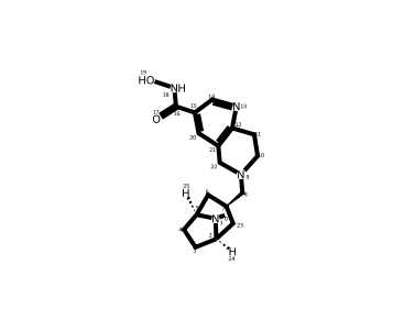 CN1[C@@H]2CC[C@H]1C[C@@H](CN1CCc3ncc(C(=O)NO)cc3C1)C2